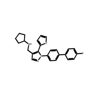 Fc1ccc(-c2ccc(-n3ncc(CNC4CCCC4)c3-c3ccco3)cc2)cc1